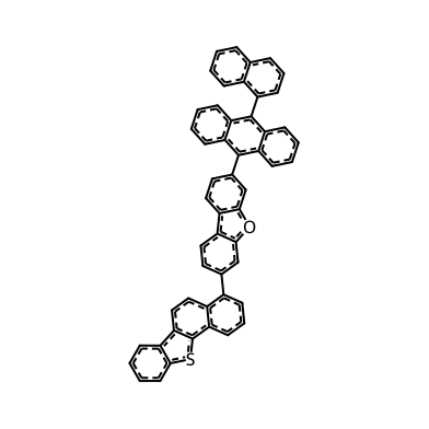 c1ccc2c(-c3c4ccccc4c(-c4ccc5c(c4)oc4cc(-c6cccc7c6ccc6c8ccccc8sc76)ccc45)c4ccccc34)cccc2c1